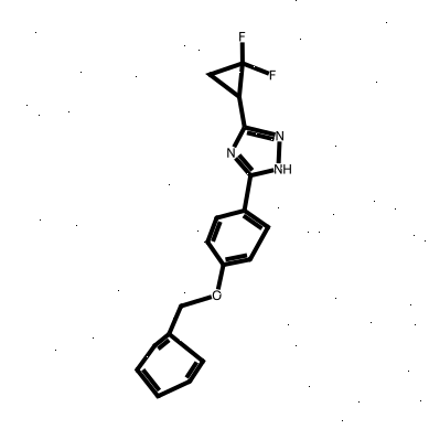 FC1(F)CC1c1n[nH]c(-c2ccc(OCc3ccccc3)cc2)n1